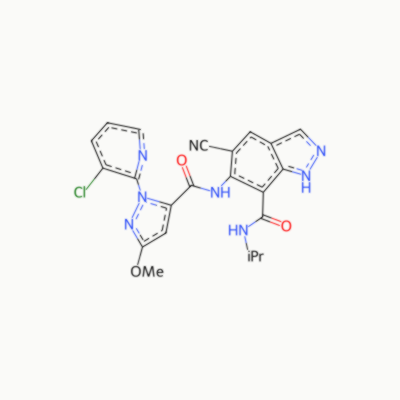 COc1cc(C(=O)Nc2c(C#N)cc3cn[nH]c3c2C(=O)NC(C)C)n(-c2ncccc2Cl)n1